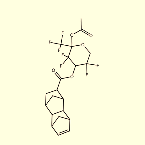 CC(=O)OC1(C(F)(F)F)OCC(F)(F)C(OC(=O)C2CC3CC2C2C4C=CC(C4)C32)C1(F)F